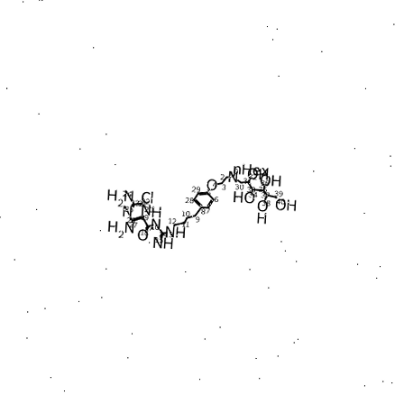 CCCCCCN(CCOc1ccc(CCCCNC(=N)NC(=O)c2nc(Cl)c(N)nc2N)cc1)CC(O)C(O)C(O)C(O)CO